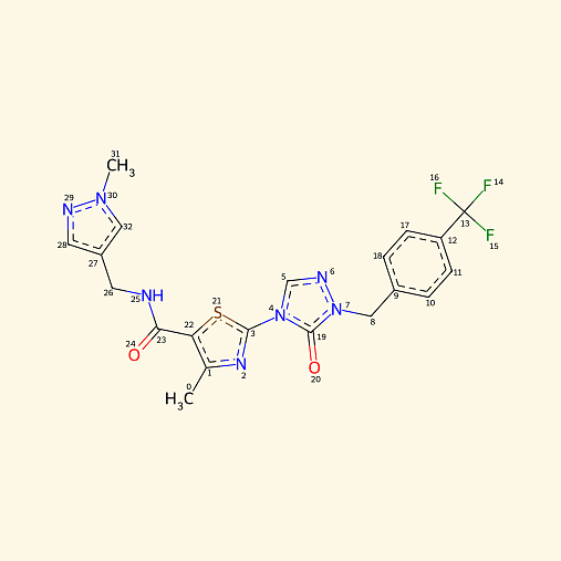 Cc1nc(-n2cnn(Cc3ccc(C(F)(F)F)cc3)c2=O)sc1C(=O)NCc1cnn(C)c1